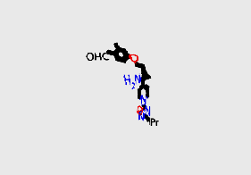 Cc1cc(OCCC2CC2(N)C2CCN(c3nc(C(C)C)no3)CC2)ccc1CC=O